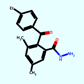 CCc1ccc(C(=O)c2c(C)cc(C)cc2C(=O)NN)cc1